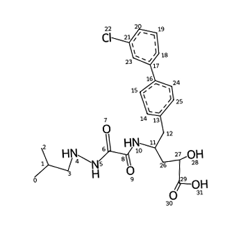 CC(C)CNNC(=O)C(=O)NC(Cc1ccc(-c2cccc(Cl)c2)cc1)CC(O)C(=O)O